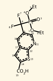 CCOP(=O)(OCC)C(F)(F)c1cnc2sc(C(=O)O)cc2c1